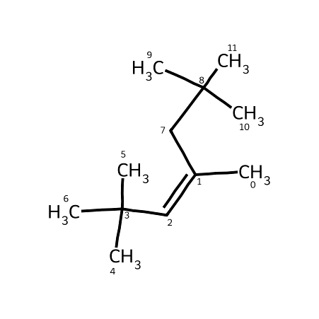 CC(=CC(C)(C)C)CC(C)(C)C